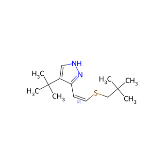 CC(C)(C)CS/C=C\c1n[nH]cc1C(C)(C)C